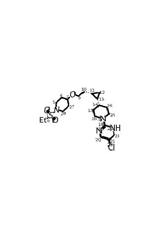 CCS(=O)(=O)N1CCC(OCC[C@@H]2C[C@@H]2C2CCN(C3=NC=C(Cl)CN3)CC2)CC1